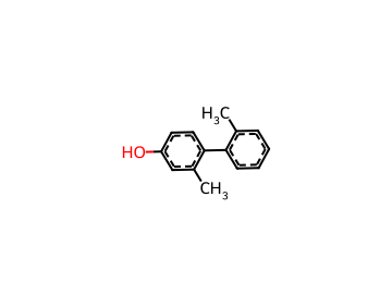 Cc1ccccc1-c1ccc(O)cc1C